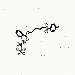 Cc1ccc(S(=O)(=O)CCCCOC(=O)c2ccccc2NC(=O)NS(C)(=O)=O)cc1